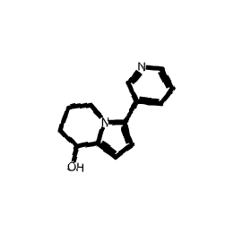 OC1CCCn2c(-c3cccnc3)ccc21